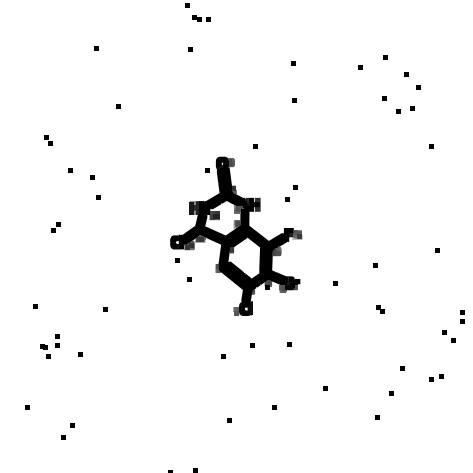 O=C1Nc2c(cc(Cl)c(Br)c2F)C(Cl)N1